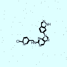 Clc1ccc(CNc2ncc3ncn(-c4ccc5cn[nH]c5c4)c3n2)cn1